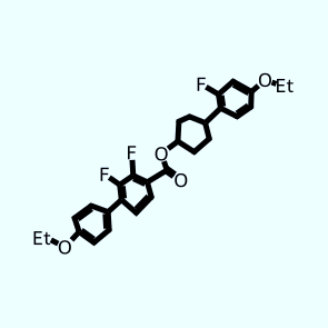 CCOc1ccc(-c2ccc(C(=O)OC3CCC(c4ccc(OCC)cc4F)CC3)c(F)c2F)cc1